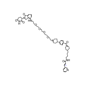 O=C(/C=C/c1cccnc1)NCCCCC1CCN(C(=O)c2ccc(C3CCN(CCOCCOCCOCCOCCNc4cccc5c4CN(C4CCC(=O)NC4=O)C5=O)CC3)cc2)CC1